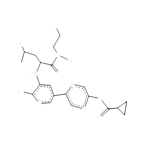 CN(CCF)C(=O)C(CC(F)F)Nc1cc(-c2cnc(NC(=O)C3CC3)cn2)cnc1C#N